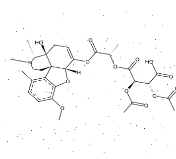 COc1ccc(C)c2c1O[C@H]1C(OC(=O)[C@H](C)OC(=O)[C@H](OC(C)=O)[C@@H](OC(C)=O)C(=O)O)=CC[C@@]3(O)[C@@H](C)N(C)CC[C@]213